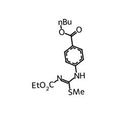 CCCCOC(=O)c1ccc(NC(=NC(=O)OCC)SC)cc1